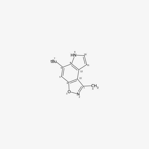 Cc1noc2cc(C(C)(C)C)c3[nH]ccc3c12